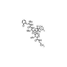 C=CCNC(=O)C(=O)C(CCC)NC(=O)[C@@H]1[C@@H]2[C@H](CN1C(=O)[C@@H](NC(=O)N[C@H](Cn1ccccc1=O)C(C)(C)C)C(C)(C)C)C2(C)C